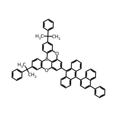 CC(C)(c1ccccc1)c1ccc2c(c1)Oc1cc(-c3c4ccccc4c(-c4ccc(-c5ccccc5)c5ccccc45)c4ccccc34)cc3c1B2c1ccc(C(C)(C)c2ccccc2)cc1O3